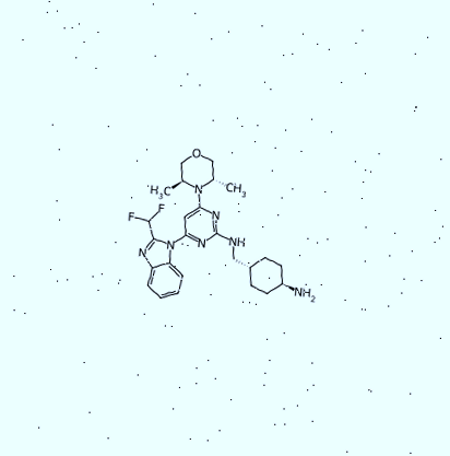 C[C@H]1COC[C@H](C)N1c1cc(-n2c(C(F)F)nc3ccccc32)nc(NC[C@H]2CC[C@H](N)CC2)n1